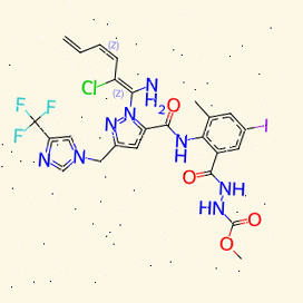 C=C/C=C\C(Cl)=C(/N)n1nc(Cn2cnc(C(F)(F)F)c2)cc1C(=O)Nc1c(C)cc(I)cc1C(=O)NNC(=O)OC